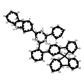 c1ccc(-c2nc(-c3ccc4c(c3)sc3ccccc34)nc(-c3ccccc3-c3ccc4c(c3)C3(c5ccccc5-c5ccccc53)c3ccccc3-4)n2)cc1